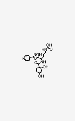 O=C(O)NCCCC(NC(=O)c1ccc(O)cc1O)c1nc(-c2ccncc2)n[nH]1